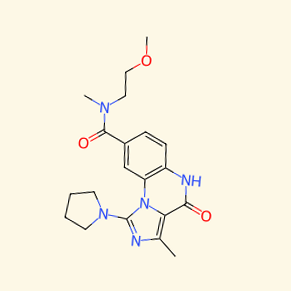 COCCN(C)C(=O)c1ccc2[nH]c(=O)c3c(C)nc(N4CCCC4)n3c2c1